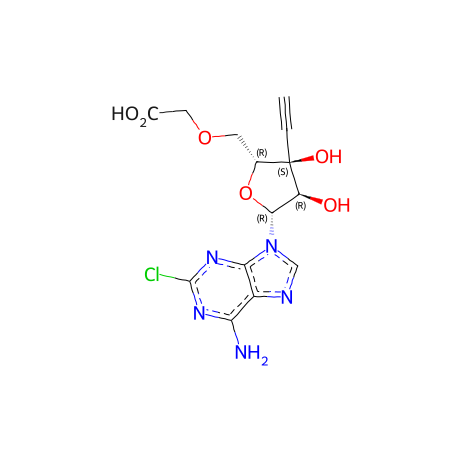 C#C[C@@]1(O)[C@@H](COCC(=O)O)O[C@@H](n2cnc3c(N)nc(Cl)nc32)[C@@H]1O